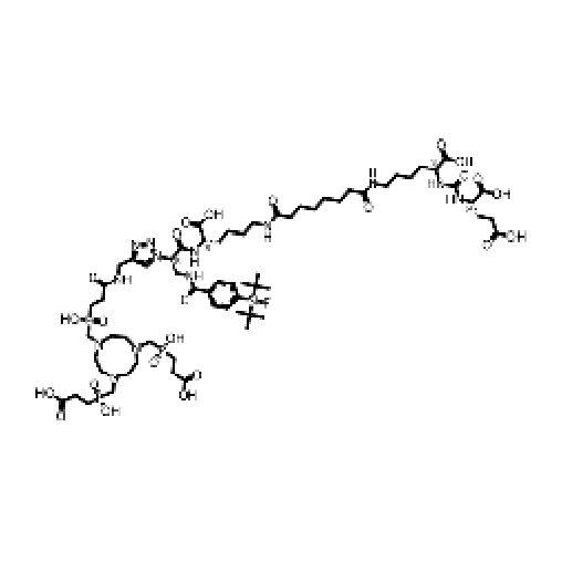 CC(C)(C)[Si](F)(c1ccc(C(=O)NC[C@H](C(=O)N[C@@H](CCCCNC(=O)CCCCCCC(=O)NCCCC[C@H](NC(=O)N[C@@H](CCC(=O)O)C(=O)O)C(=O)O)C(=O)O)n2cc(CNC(=O)CCP(=O)(O)CN3CCN(CP(=O)(O)CCC(=O)O)CCN(CP(=O)(O)CCC(=O)O)CC3)nn2)cc1)C(C)(C)C